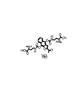 CNC(CCNC(=O)Oc1c2ccccc2c(OC(=O)NCCC(NC)C(=O)O)c2oc(C(C)=O)cc12)C(=O)O.Cl.Cl